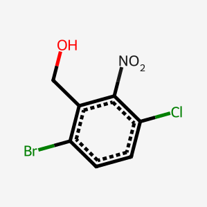 O=[N+]([O-])c1c(Cl)ccc(Br)c1CO